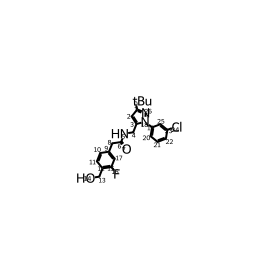 CC(C)(C)c1cc(CNC(=O)Cc2ccc(CO)c(F)c2)n(-c2cccc(Cl)c2)n1